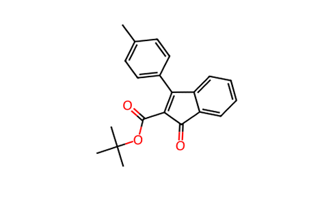 Cc1ccc(C2=C(C(=O)OC(C)(C)C)C(=O)c3ccccc32)cc1